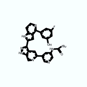 CC(C)(C)C(=O)Nc1cncc(-c2cc3c(-c4cc5c(-c6cc(O)cc(F)c6)nccc5[nH]4)n[nH]c3cn2)c1